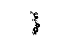 Cc1c(COC(=O)[C@@H]2[C@H](C=C(Br)Br)C2(C)C)cccc1-c1ccc(C(F)(F)F)cc1